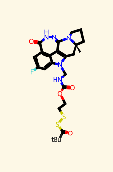 CC(C)(C)C(=O)SSCCOC(=O)NCn1c2c3c4c(cc(F)cc41)C(=O)NN=C3N1CCC[C@]1(C)C2